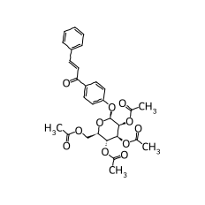 CC(=O)OC[C@H]1O[C@@H](Oc2ccc(C(=O)/C=C/c3ccccc3)cc2)[C@@H](OC(C)=O)[C@@H](OC(C)=O)[C@@H]1OC(C)=O